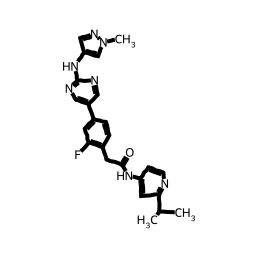 CC(C)c1cc(NC(=O)Cc2ccc(-c3cnc(Nc4cnn(C)c4)nc3)cc2F)ccn1